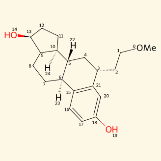 COCC[C@H]1C[C@@H]2[C@H](CCC3[C@H]2CC[C@@H]3O)c2ccc(O)cc21